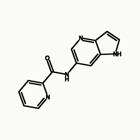 O=C(Nc1cnc2cc[nH]c2c1)c1ccccn1